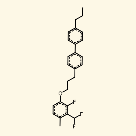 CCCc1ccc(-c2ccc(CCCOc3ccc(C)c(C(F)F)c3F)cc2)cc1